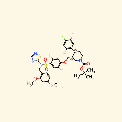 COc1ccc(CN(c2ncns2)S(=O)(=O)c2cc(F)c(OC[C@H]3CN(C(=O)OC(C)(C)C)CC[C@@H]3c3cc(F)c(F)cc3F)cc2F)c(OC)c1